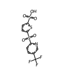 O=S(=O)(O)c1ccc(S(=O)(=O)c2ccc(C(F)(F)F)cn2)s1